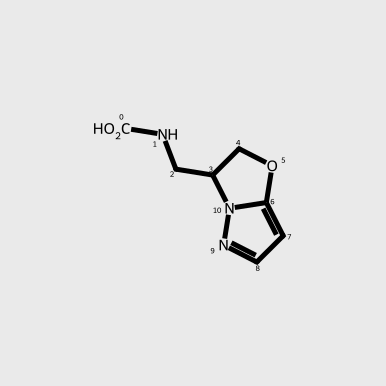 O=C(O)NCC1COc2ccnn21